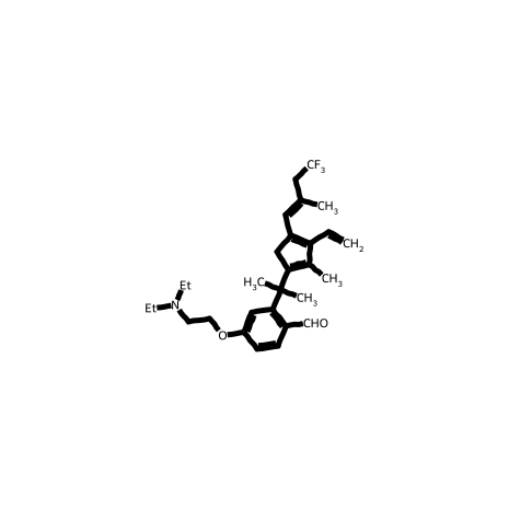 C=CC1=C(/C=C(\C)CC(F)(F)F)CC(C(C)(C)c2cc(OCCN(CC)CC)ccc2C=O)=C1C